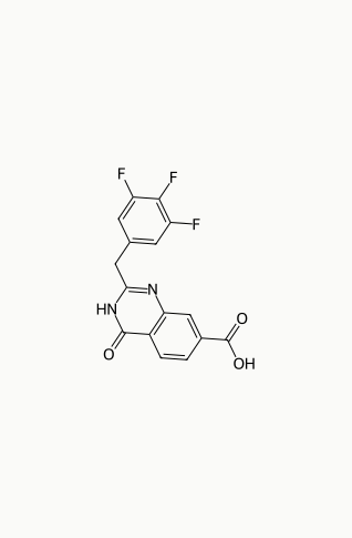 O=C(O)c1ccc2c(=O)[nH]c(Cc3cc(F)c(F)c(F)c3)nc2c1